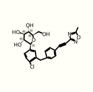 Cc1nc(C#Cc2ccc(Cc3cc([C@@H]4O[C@H](CO)[C@@H](O)[C@H](O)[C@H]4O)ccc3Cl)cc2)no1